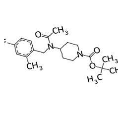 CC(=O)N(Cc1ccc(F)cc1C)C1CCN(C(=O)OC(C)(C)C)CC1